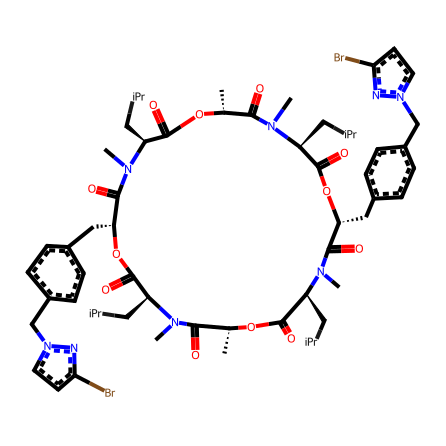 CC(C)C[C@H]1C(=O)O[C@H](Cc2ccc(Cn3ccc(Br)n3)cc2)C(=O)N(C)[C@@H](CC(C)C)C(=O)O[C@H](C)C(=O)N(C)[C@@H](CC(C)C)C(=O)O[C@H](Cc2ccc(Cn3ccc(Br)n3)cc2)C(=O)N(C)[C@@H](CC(C)C)C(=O)O[C@H](C)C(=O)N1C